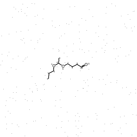 CCCOC(C)OCCC[C]=O